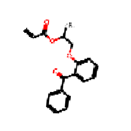 C=CC(=O)OC(CCCC)COc1ccccc1C(=O)c1ccccc1